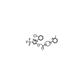 Cc1cccc(N2CCN(C(=O)COc3cc(C(F)(F)F)nn3-c3ccccc3Cl)CC2)n1